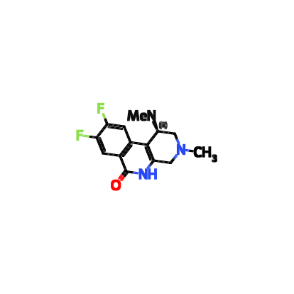 CN[C@H]1CN(C)Cc2[nH]c(=O)c3cc(F)c(F)cc3c21